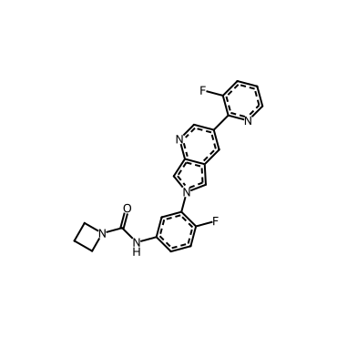 O=C(Nc1ccc(F)c(-n2cc3cc(-c4ncccc4F)cnc3c2)c1)N1CCC1